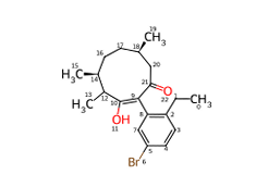 CCc1ccc(Br)cc1/C1=C(\O)C(C)[C@@H](C)CC[C@@H](C)CC1=O